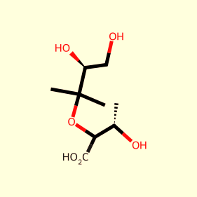 C[C@H](O)C(OC(C)(C)[C@@H](O)CO)C(=O)O